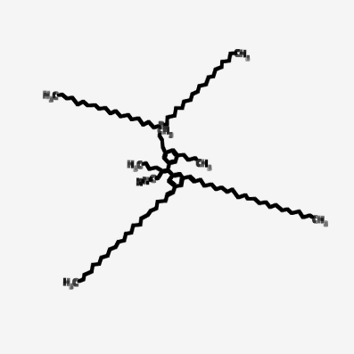 CCCCCCCCCCCCCCCCCCCCCCC=Cc1cc(C=CCCCCCCCCCCCCCCCCCCCCCC)cc(C(=C(C=C=[N+]=[N-])CCCC)c2cc(CCCC)cc(CCCC)c2)c1.CCCCCCCCCCCCCCCCCC[CH2][Pd][CH2]CCCCCCCCCCCCCCCCCC